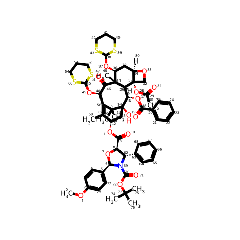 COc1ccc([C@H]2O[C@@H](C(=O)O[C@H]3C[C@@]4(O)[C@@H](OC(=O)c5ccccc5)[C@@H]5[C@]6(OC(C)=O)CO[C@@H]6C[C@H](OC6SCCCS6)[C@@]5(C)C(=O)[C@H](OC5SCCCS5)C(=C3C)C4(C)C)[C@H](c3ccccc3)N2C(=O)OC(C)(C)C)cc1